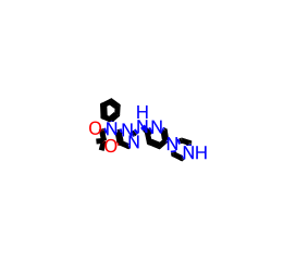 CC1(C)Oc2cnc(Nc3ccc(N4CCNCC4)cn3)nc2N(c2ccccc2)C1=O